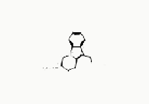 CN[C@@H]1CCc2c(CC(=O)O)c3ccccc3n2C1